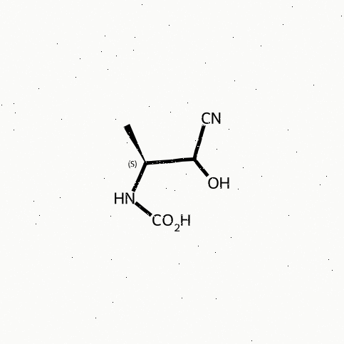 C[C@H](NC(=O)O)C(O)C#N